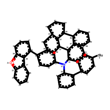 CC(C)(C)c1ccc(-c2ccccc2N(c2ccc(-c3cccc4oc5ccccc5c34)cc2)c2ccccc2-c2cccc3cccc(-c4ccccc4)c23)cc1